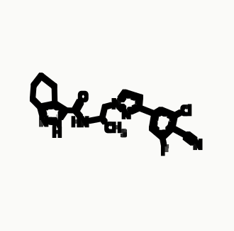 CC(Cn1ccc(-c2cc(F)c(C#N)c(Cl)c2)n1)NC(=O)c1[nH]nc2c1CCCC2